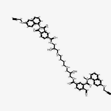 C#CCOc1ccc2c(N(C)C(=O)c3cc(C(=O)OCC(O)COCCCCOCC(O)COC(=O)c4ccc5c(c4)C(=O)N(c4cccc6cc(OCC#C)ccc46)C5=O)ccc3C=O)cccc2c1